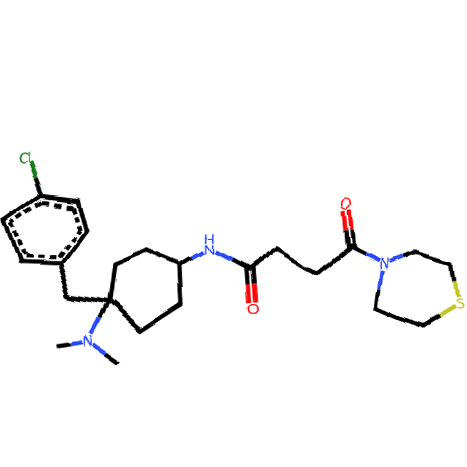 CN(C)C1(Cc2ccc(Cl)cc2)CCC(NC(=O)CCC(=O)N2CCSCC2)CC1